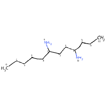 CCCCCC(N)CCC(N)CCC